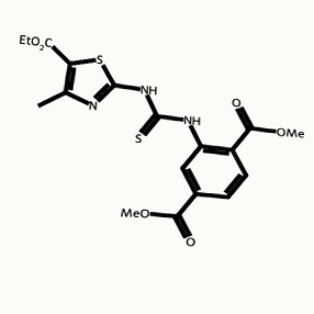 CCOC(=O)c1sc(NC(=S)Nc2cc(C(=O)OC)ccc2C(=O)OC)nc1C